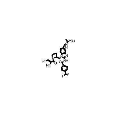 CC(C)C=C(C#N)C(=O)N1CCCC1Cn1c(NC(=O)c2ccc(C(F)F)cc2)nc2cc(CN[C@@H](C)C(C)(C)C)ccc21